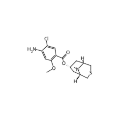 COc1cc(N)c(Cl)cc1C(=O)O[C@H]1C[C@H]2CSC[C@@H](C1)N2C